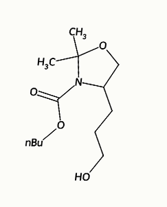 CCCCOC(=O)N1C(CCCO)COC1(C)C